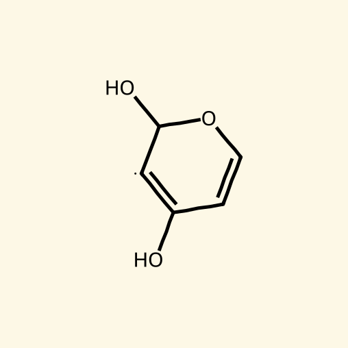 OC1=[C]C(O)OC=C1